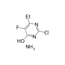 CCc1nc(Cl)nc(O)c1F.N